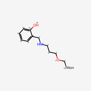 CCCCCCCCCCOCCCNCc1ccccc1O